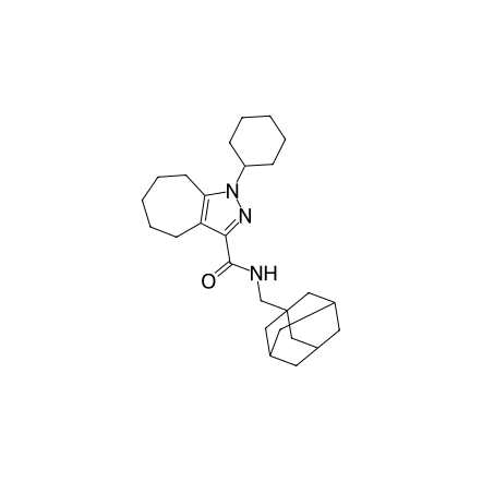 O=C(NCC12CC3CC(CC(C3)C1)C2)c1nn(C2CCCCC2)c2c1CCCCC2